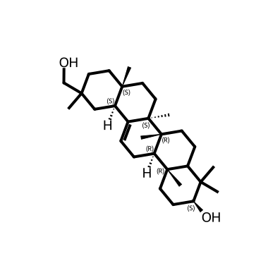 CC1(CO)CC[C@]2(C)CC[C@]3(C)C(=CC[C@@H]4[C@@]5(C)CC[C@H](O)C(C)(C)C5CC[C@]43C)[C@H]2C1